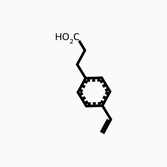 C=Cc1ccc(CCC(=O)O)cc1